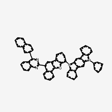 c1ccc(-n2c3ccccc3c3cc4c(cc32)c2ccccc2n4-c2cccc3c2oc2c4ccccc4c(-c4nc(-c5ccc6ccccc6c5)c5ccccc5n4)cc32)cc1